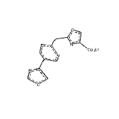 CCOC(=O)c1coc(Cc2ccc(-c3cocn3)cn2)n1